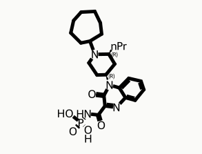 CCC[C@@H]1C[C@H](n2c(=O)c(C(=O)NP(=O)(O)O)nc3ccccc32)CCN1C1CCCCCCC1